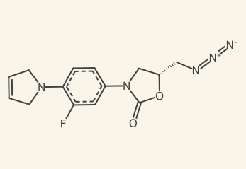 [N-]=[N+]=NC[C@H]1CN(c2ccc(N3CC=CC3)c(F)c2)C(=O)O1